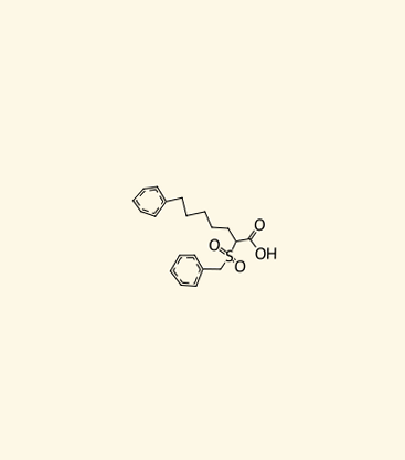 O=C(O)C(CCCCCc1ccccc1)S(=O)(=O)Cc1ccccc1